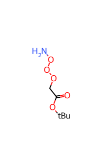 CC(C)(C)OC(=O)COOON